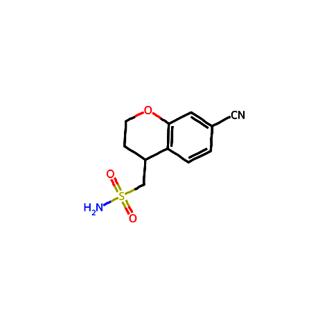 N#Cc1ccc2c(c1)OCCC2CS(N)(=O)=O